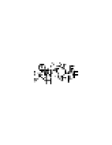 CC(N[S+]([O-])C(C)(C)C)c1ccc(C(F)(F)F)cc1